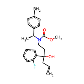 Bc1ccc([C@H](C)N(CCC(O)(CC=C)c2ccccc2F)C(=O)OC)cc1